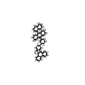 C1=C(c2ccc3oc4c5ccccc5c5ccccc5c4c3c2)C=C(c2c3ccccc3c(-c3cccc4ccccc34)c3ccccc23)CC1